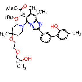 COC(=O)[C@@H](OC(C)(C)C)c1c(C)c(C)c2nc(-c3cccc(-c4ccc(C)cc4O)c3)cn2c1N1CCC(C)(OCCOC[C@@H](C)O)CC1